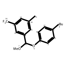 CCC(C)c1ccc(OC(OC)c2cc(C)cc(C(F)(F)F)c2)cc1